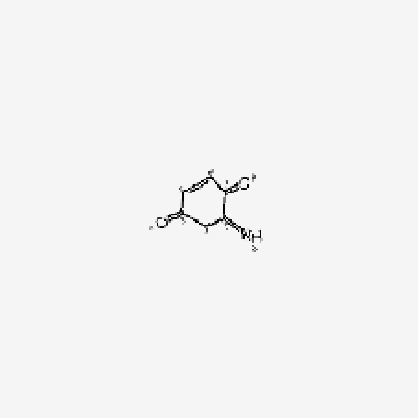 N=C1CC(=O)C=CC1=O